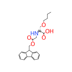 CCCCOC[C@@H](NCC(=O)OCC1c2ccccc2-c2ccccc21)C(=O)O